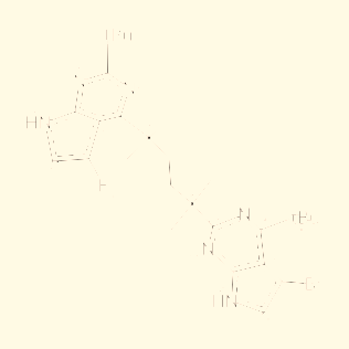 CC(C)(C)c1nc(C(C)(C)CCC(C)(C)c2nc(C(C)(C)C)c3c(Br)c[nH]c3n2)c2c(F)c[nH]c2n1